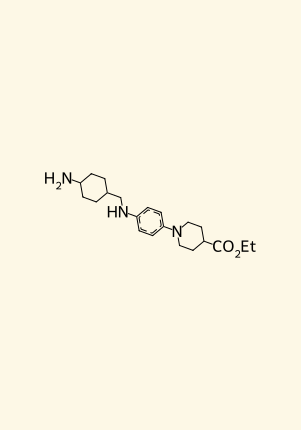 CCOC(=O)C1CCN(c2ccc(NCC3CCC(N)CC3)cc2)CC1